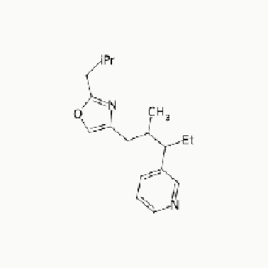 CCC(c1cccnc1)C(C)Cc1coc(CC(C)C)n1